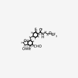 COc1c(C=O)cc(Cc2ccc(C(=O)NCCOC(F)(F)F)c(F)c2)c2c1CCO2